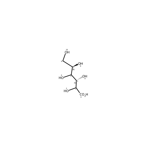 O=C(O)C(O)[C@@H](O)C(O)[C@H](O)CO